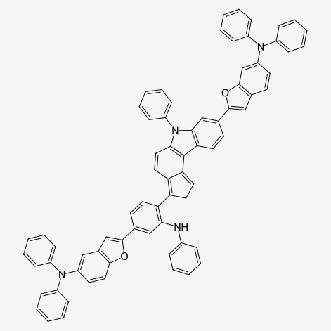 C1=c2c(ccc3c2c2ccc(-c4cc5ccc(N(c6ccccc6)c6ccccc6)cc5o4)cc2n3-c2ccccc2)=C(c2ccc(-c3cc4cc(N(c5ccccc5)c5ccccc5)ccc4o3)cc2Nc2ccccc2)C1